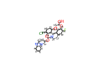 Cc1nc2ccccc2n1CCOC(=O)N1CCc2cc(F)ccc2[C@H]1c1cc(Cl)ccc1OCC(=O)O